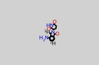 [2H]c1cc(N)c2c(c1)C(=O)N(C1CCC(=O)NC1=O)C2[2H]